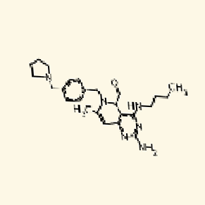 CCCCNc1nc(N)nc2c1C(C=O)N(Cc1ccc(CN3CCCC3)cc1)C(C)=C2